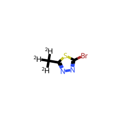 [2H]C([2H])([2H])c1nnc(Br)s1